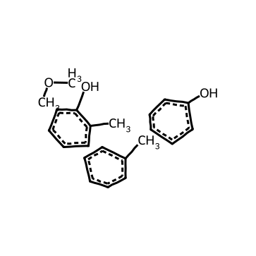 COC.Cc1ccccc1.Cc1ccccc1O.Oc1ccccc1